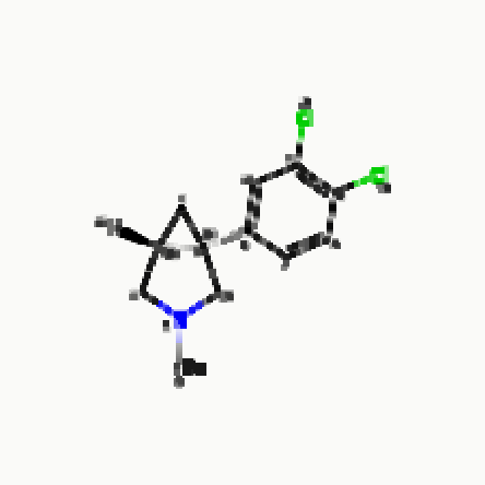 CCCCN1C[C@@H]2C[C@@]2(c2ccc(Cl)c(Cl)c2)C1